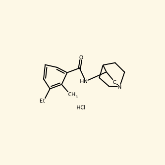 CCc1cccc(C(=O)NC2CN3CCC2CC3)c1C.Cl